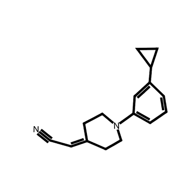 N#CC=C1CCN(c2cccc(C3CC3)c2)CC1